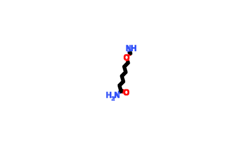 N=COCCCCCCC(N)=O